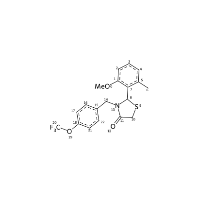 COc1cccc(C)c1C1SCC(=O)N1Cc1ccc(OC(F)(F)F)cc1